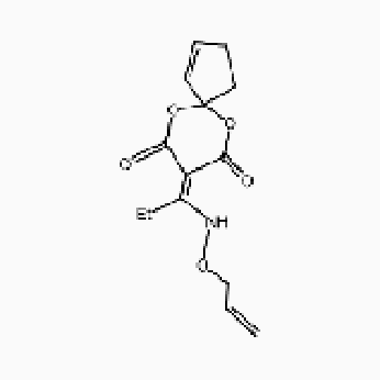 C=CCONC(CC)=C1C(=O)OC2(C=CCC2)OC1=O